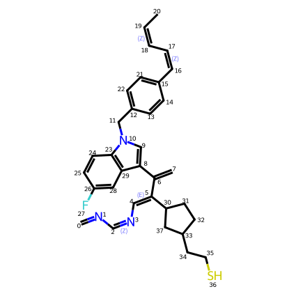 C=N/C=N\C=C(\C(=C)c1cn(Cc2ccc(/C=C\C=C/C)cc2)c2ccc(F)cc12)C1CCC(CCS)C1